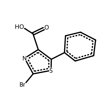 O=C(O)c1nc(Br)sc1-c1ccccc1